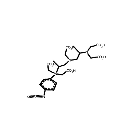 CC(CN(CC(=O)O)CC(C)[N+](CC(=O)O)(CC(=O)O)c1ccc(N=C=S)cc1)N(CC(=O)O)CC(=O)O